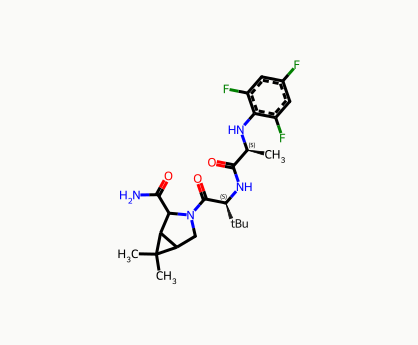 C[C@H](Nc1c(F)cc(F)cc1F)C(=O)N[C@H](C(=O)N1CC2C(C1C(N)=O)C2(C)C)C(C)(C)C